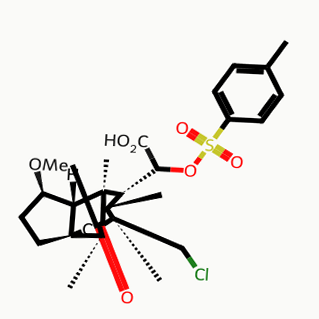 CO[C@@H]1CC[C@@]23CC[C@@H](C)[C@](C)([C@H](C(OS(=O)(=O)c4ccc(C)cc4)C(=O)O)C[C@@](C)(CCl)C(=O)[C@@H]2C)[C@@H]13